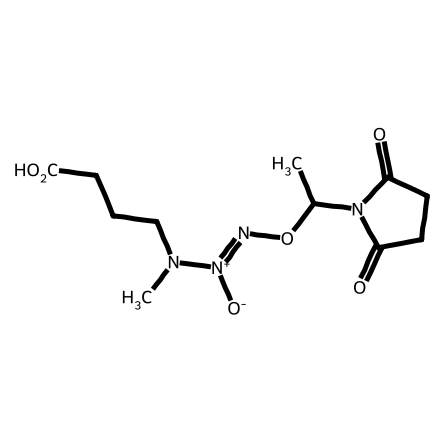 CC(ON=[N+]([O-])N(C)CCCC(=O)O)N1C(=O)CCC1=O